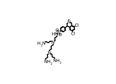 CN1Cc2c(Cl)cc(Cl)cc2C(c2ccc(S(=O)(=O)NCCCN(CCCN)CCCCN(CCCN)CCCN)cc2)C1